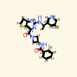 CC(Nc1nc(C(=O)N2CC(NC(=O)c3ccccc3F)C2)c2sccc2n1)c1cncc(F)c1